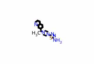 CC(c1ccc2cccnc2c1)N1CCN(c2nnc(N)s2)CC1